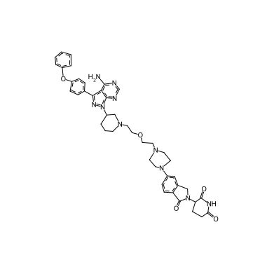 Nc1ncnc2c1c(-c1ccc(Oc3ccccc3)cc1)nn2C1CCCN(CCOCCN2CCN(c3ccc4c(c3)CN(C3CCC(=O)NC3=O)C4=O)CC2)C1